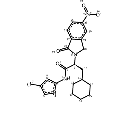 O=C(Nc1ncc(Cl)s1)[C@H](CC1CCCCC1)N1Cc2cc([N+](=O)[O-])ccc2C1=O